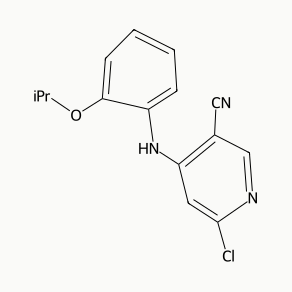 CC(C)Oc1ccccc1Nc1cc(Cl)ncc1C#N